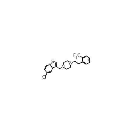 FC(F)(F)c1ccccc1CCN1CCN(CC2=CSC3C=CC(Cl)=CC23)CC1